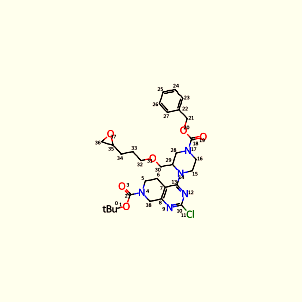 CC(C)(C)OC(=O)N1CCc2c(nc(Cl)nc2N2CCN(C(=O)OCc3ccccc3)CC2COCCCC2CO2)C1